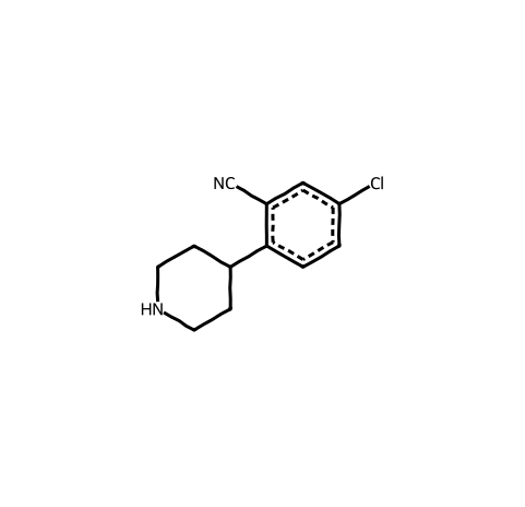 N#Cc1cc(Cl)ccc1C1CCNCC1